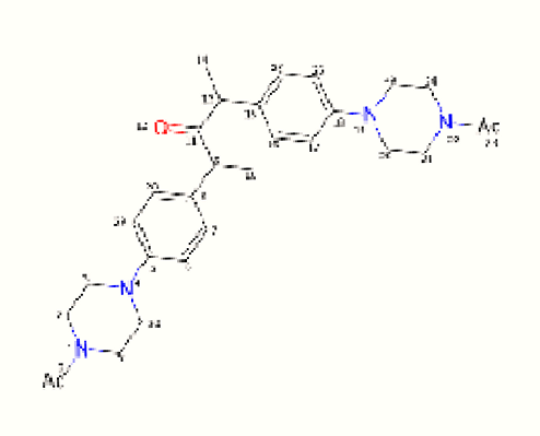 CC(=O)N1CCN(c2ccc(C(C)C(=O)C(C)c3ccc(N4CCN(C(C)=O)CC4)cc3)cc2)CC1